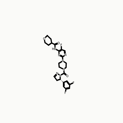 O=C(Nc1nc(N2CCN(C(=O)N3N=CC[C@H]3c3cc(F)cc(F)c3)CC2)ncc1F)C1CCOCC1